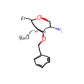 CCC1OCC(N)[C@@H](OCc2ccccc2)[C@@H]1OC